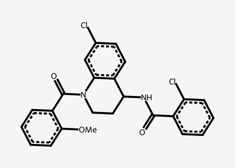 COc1ccccc1C(=O)N1CCC(NC(=O)c2ccccc2Cl)c2ccc(Cl)cc21